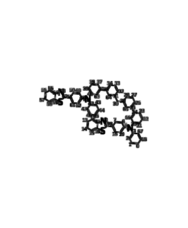 c1ccc(N(c2ccc(-c3nc4ccccc4s3)cc2)c2cccc(-c3cccc(Cc4cccc(-c5cccc(N(c6ccccc6)c6ccc(-c7nc8ccccc8s7)cc6)c5)c4)c3)c2)cc1